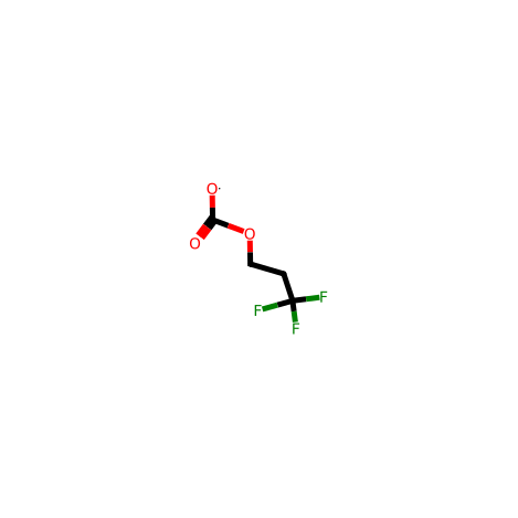 [O]C(=O)OCCC(F)(F)F